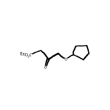 CCOC(=O)CC(=O)COC1CCCC1